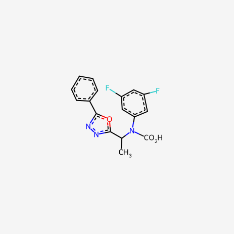 CC(c1nnc(-c2ccccc2)o1)N(C(=O)O)c1cc(F)cc(F)c1